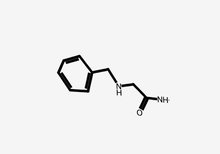 [NH]C(=O)CNCc1ccccc1